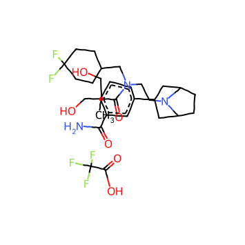 CC(CO)(CO)C(=O)N(CCN1C2CCC1CC(c1cccc(C(N)=O)c1)C2)CC1CCC(F)(F)CC1.O=C(O)C(F)(F)F